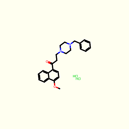 COc1ccc(C(=O)CCN2CCN(Cc3ccccc3)CC2)c2ccccc12.Cl.Cl